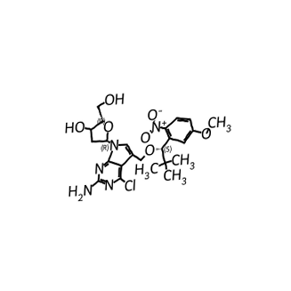 COc1ccc([N+](=O)[O-])c([C@@H](OCc2cn([C@H]3CC(O)[C@@H](CO)O3)c3nc(N)nc(Cl)c23)C(C)(C)C)c1